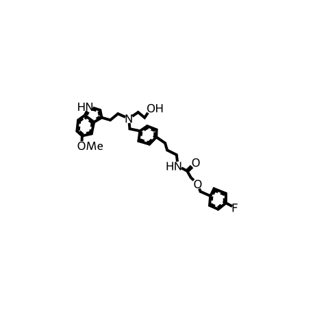 COc1ccc2[nH]cc(CCN(CCO)Cc3ccc(CCCNC(=O)COCc4ccc(F)cc4)cc3)c2c1